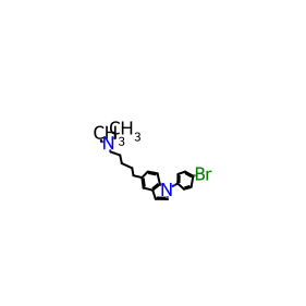 CCN(CC)CCCCCc1ccc2c(ccn2-c2ccc(Br)cc2)c1